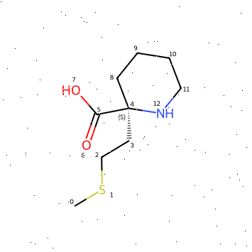 CSCC[C@]1(C(=O)O)CCCCN1